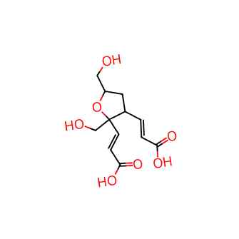 O=C(O)C=CC1CC(CO)OC1(C=CC(=O)O)CO